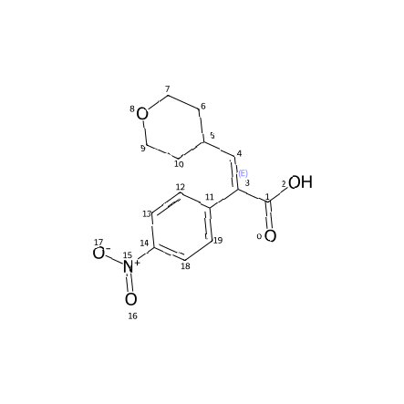 O=C(O)/C(=C/C1CCOCC1)c1ccc([N+](=O)[O-])cc1